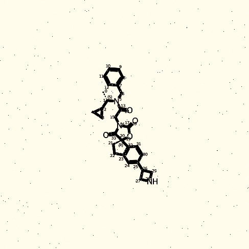 C[C@@H](C1CC1)N(Cc1ccccc1)C(=O)CN1C(=O)O[C@@]2(CCc3cc(C4CNC4)ccc32)C1=O